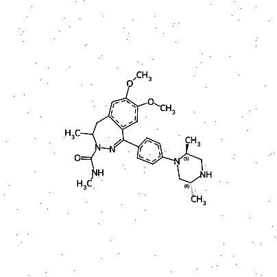 CNC(=O)N1N=C(c2ccc(N3C[C@@H](C)NC[C@@H]3C)cc2)c2cc(OC)c(OC)cc2CC1C